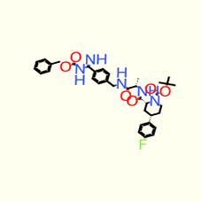 C[C@H](NC(=O)[C@H]1C[C@@H](c2ccc(F)cc2)CCN1C(=O)OC(C)(C)C)C(=O)NCc1ccc(C(=N)NC(=O)OCc2ccccc2)cc1